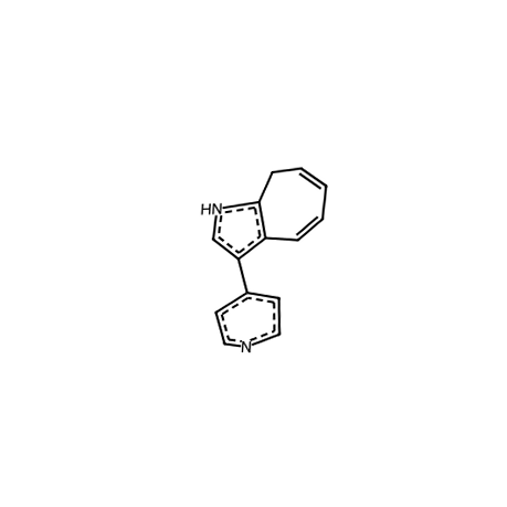 C1=CCc2[nH]cc(-c3ccncc3)c2C=C1